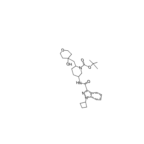 CC(C)(C)OC(=O)N1CC(NC(=O)c2nn(C3CCC3)c3ccccc23)CCC1CC1(O)CCOCC1